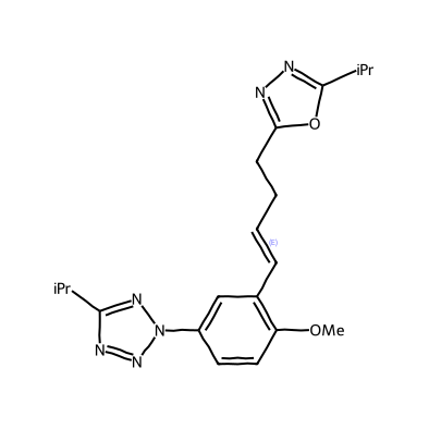 COc1ccc(-n2nnc(C(C)C)n2)cc1/C=C/CCc1nnc(C(C)C)o1